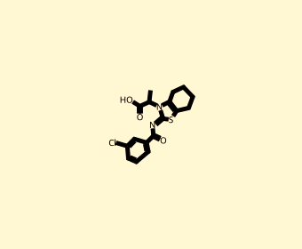 CC(C(=O)O)n1c2c(sc1=NC(=O)c1cccc(Cl)c1)CCCC2